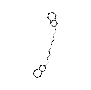 C(=COC=CCCc1cc2ccccc2[nH]1)CCc1cc2ccccc2[nH]1